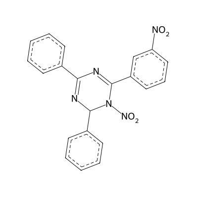 O=[N+]([O-])c1cccc(C2=NC(c3ccccc3)=NC(c3ccccc3)N2[N+](=O)[O-])c1